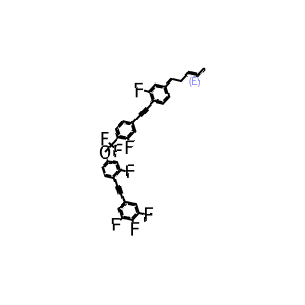 C/C=C/CCc1ccc(C#Cc2ccc(C(F)(F)Oc3ccc(C#Cc4cc(F)c(F)c(F)c4)c(F)c3)c(F)c2)c(F)c1